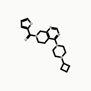 O=C(c1ccco1)N1CCc2c(ncnc2N2CCN(C3CCC3)CC2)C1